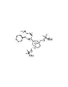 CC(C)(C)[Si](C)(C)OCC12CC[C@@](CO[Si](C)(C)C(C)(C)C)(CC(C(/C=C\CN)=C/CC3=CCCCC3)C1)O2